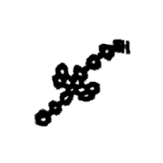 Sc1ccc(-c2ccc(-c3ccc4c(-c5ccccc5)c5c(-c6ccccc6)c6cc(-c7ccc(-c8ccccc8)cc7)ccc6c(-c6ccccc6)c5c(-c5ccccc5)c4c3)cc2)cc1